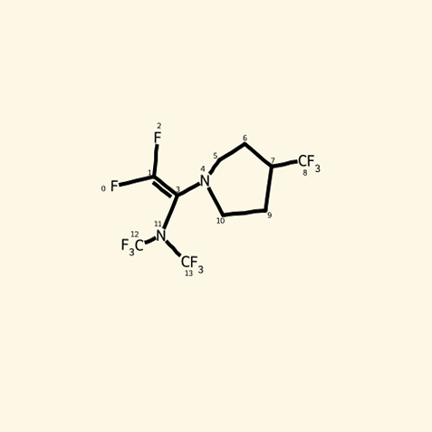 FC(F)=C(N1CCC(C(F)(F)F)CC1)N(C(F)(F)F)C(F)(F)F